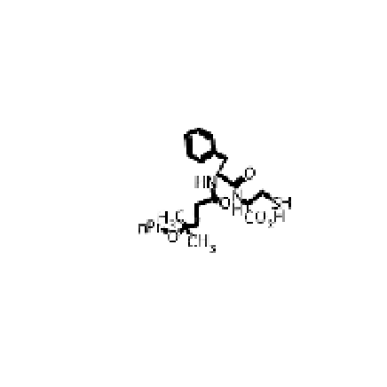 CCCOC(C)(C)CCC(=O)N[C@@H](Cc1ccccc1)C(=O)N[C@@H](CS)C(=O)O